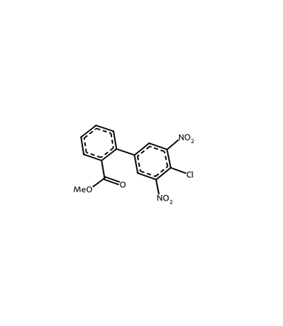 COC(=O)c1ccccc1-c1cc([N+](=O)[O-])c(Cl)c([N+](=O)[O-])c1